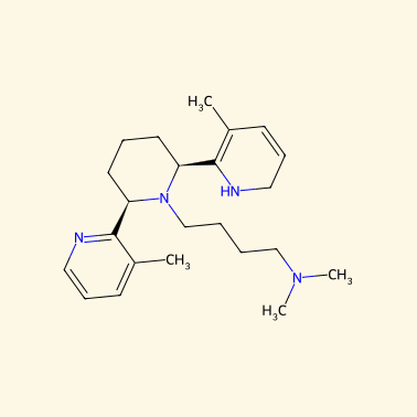 CC1=C([C@@H]2CCC[C@H](c3ncccc3C)N2CCCCN(C)C)NCC=C1